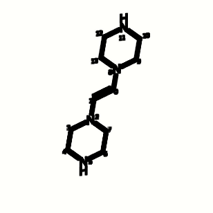 C(=CN1CCNCC1)N1CCNCC1